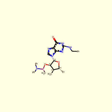 CC[C@H]1O[C@@H](n2cnc3c(=O)[nH]c(NCC(C)C)nc32)[C@H](OP(C)N(C(C)C)C(C)C)[C@@H]1C